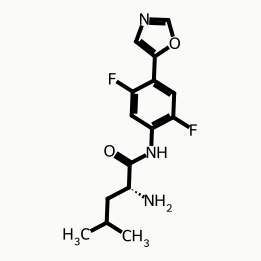 CC(C)C[C@@H](N)C(=O)Nc1cc(F)c(-c2cnco2)cc1F